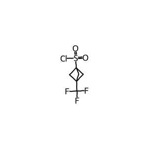 O=S(=O)(Cl)C12CC(C(F)(F)F)(C1)C2